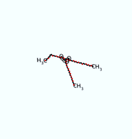 CCCCCC/C=C\CCCCCCCC(=O)OC[C@H](COC(=O)CCCCCCCCCCCCCCCCCCCC)OC(=O)CCCCCCCCCCCCCCCCCCCC